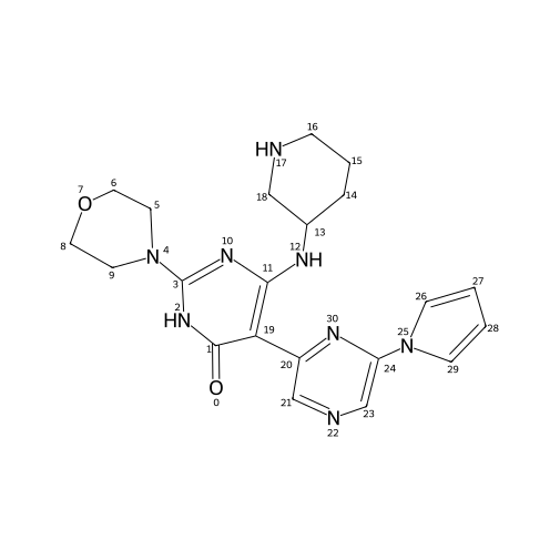 O=c1[nH]c(N2CCOCC2)nc(NC2CCCNC2)c1-c1cncc(-n2cccc2)n1